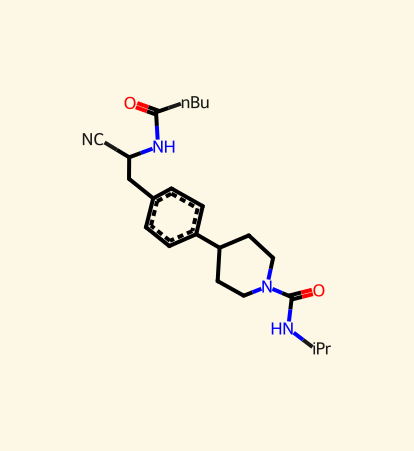 CCCCC(=O)NC(C#N)Cc1ccc(C2CCN(C(=O)NC(C)C)CC2)cc1